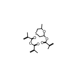 C=C(C)C(=O)OC(=O)C(=C)C.C=C(C)C(=O)OC1CSCC(C)O1